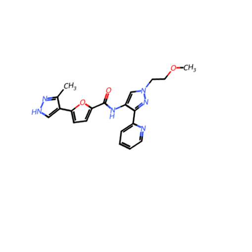 COCCn1cc(NC(=O)c2ccc(-c3c[nH]nc3C)o2)c(-c2ccccn2)n1